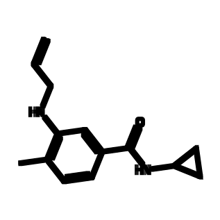 C=CCNc1cc(C(=O)NC2CC2)ccc1C